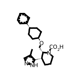 Cc1cn[nH]c1[C@H]1CCCN(C(=O)O)[C@H]1CO[C@H]1CC[C@@H](c2ccccc2)CC1